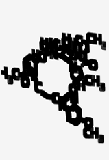 COc1ccc2nc3c(nc2c1)O[C@H]1CN(C(=O)[C@H](C(C)(C)C)NC(=O)O[C@@H]2CCN(C(C)=O)[C@H]2CCCCC3)[C@H](C(=O)OCC(C)C)[C@@H]1C